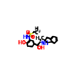 CCS(=O)(=O)Nc1cc([C@@H](O)CNC2(C)Cc3ccccc3C2)ccc1O